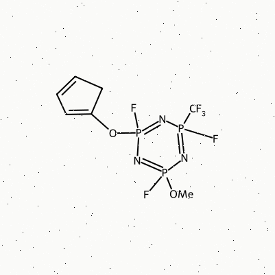 COP1(F)=NP(F)(OC2=CC=CC2)=NP(F)(C(F)(F)F)=N1